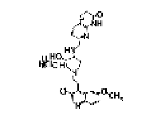 COc1ccc2ncc(Cl)c(CCN3CCC(NCc4ccc5c(n4)NC(=O)CS5)C(O)C3)c2c1.Cl.Cl.Cl